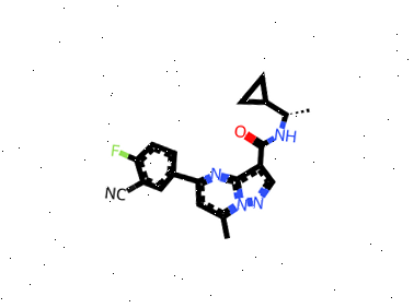 Cc1cc(-c2ccc(F)c(C#N)c2)nc2c(C(=O)N[C@@H](C)C3CC3)cnn12